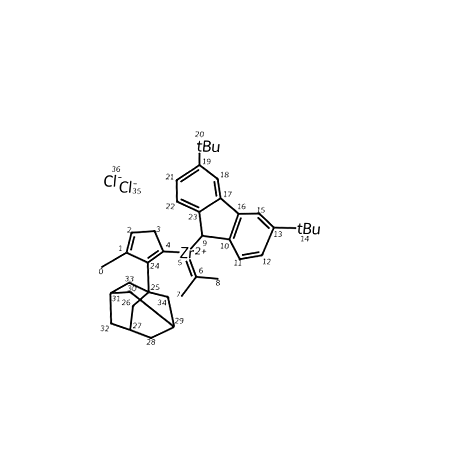 CC1=CC[C]([Zr+2](=[C](C)C)[CH]2c3ccc(C(C)(C)C)cc3-c3cc(C(C)(C)C)ccc32)=C1C12CC3CC(CC(C3)C1)C2.[Cl-].[Cl-]